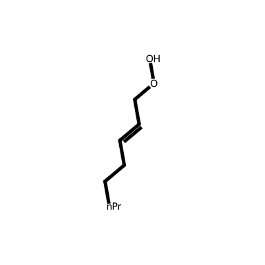 CCCCCC=CCOO